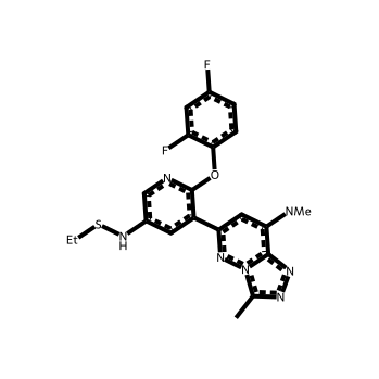 CCSNc1cnc(Oc2ccc(F)cc2F)c(-c2cc(NC)c3nnc(C)n3n2)c1